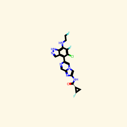 O=C(Nc1cn2cc(-c3c(Cl)c(F)c(NCCF)c4[nH]ncc34)ncc2n1)[C@@H]1C[C@@H]1F